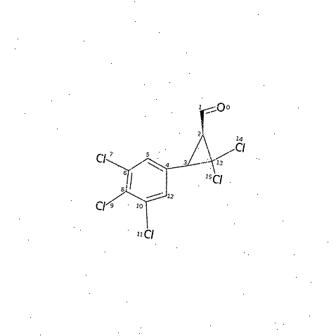 O=C[C@@H]1C(c2cc(Cl)c(Cl)c(Cl)c2)C1(Cl)Cl